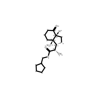 C[C@H](C(=O)OCC1CCCC1)[C@H]1CC[C@H]2C(=O)CCC[C@@]12C